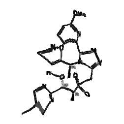 COc1cccc(-c2nnc(CS(=O)(=O)[C@@H](C)[C@@H](OC(C)C)c3ncc(C)cn3)n2[C@@H](C)c2ccno2)n1